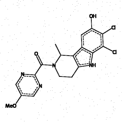 COc1cnc(C(=O)N2CCc3[nH]c4c(Cl)c(Cl)c(O)cc4c3C2C)nc1